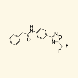 O=C(Cc1ccccc1)Nc1ccc(-c2noc(C(F)F)n2)cc1